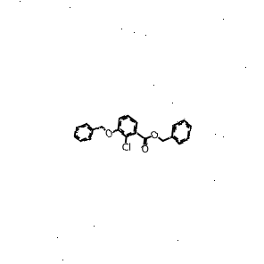 O=C(OCc1ccccc1)c1cccc(OCc2ccccc2)c1Cl